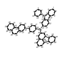 c1ccc(-n2c3ccccc3c3ccc(N(c4ccc(-c5ccc6c(ccc7ccccc76)c5)cc4)c4cc5c6c(cccc6c4)-c4ccccc4-5)cc32)cc1